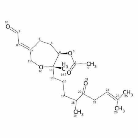 CC(=O)O[C@@H]1CC/C(=C\C=O)CO[C@@]1(C)CCCC(C)C(=O)CC=C(C)C